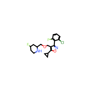 Fc1cccc(Cl)c1-c1noc(C2CC2)c1COCC1CC(F)CCN1